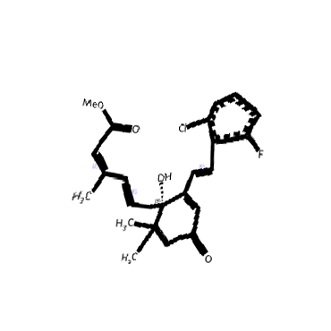 COC(=O)/C=C(C)\C=C\[C@@]1(O)C(/C=C/c2c(F)cccc2Cl)=CC(=O)CC1(C)C